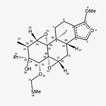 COc1occ2c1CC[C@@]1(C)[C@H]2C[C@@H]2O[C@@]23[C@H](OCSC)[C@](O)(C(C)C)[C@@H](C)[C@@H]2O[C@@]231